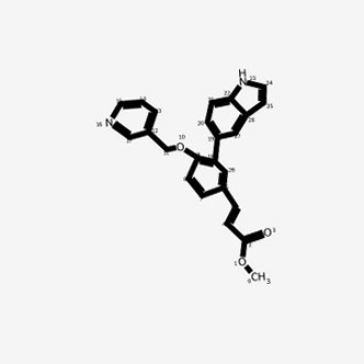 COC(=O)C=Cc1ccc(OCc2cccnc2)c(-c2ccc3[nH]ccc3c2)c1